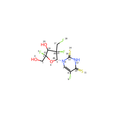 OC[C@@]1(F)O[C@@H](n2cc(F)c(=S)[nH]c2=S)[C@@](F)(CF)C1O